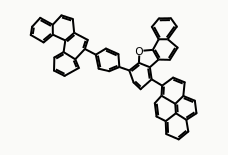 c1ccc2c(c1)ccc1c2oc2c(-c3ccc(-c4cc5ccc6ccccc6c5c5ccccc45)cc3)ccc(-c3ccc4ccc5cccc6ccc3c4c56)c21